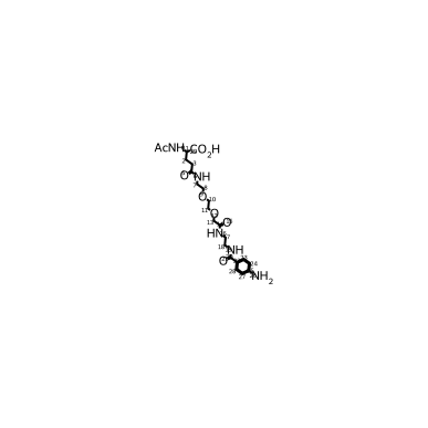 CC(=O)NC(CCC(=O)NCCOCCOCC(=O)NCCNC(=O)c1ccc(N)cc1)C(=O)O